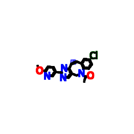 COc1ccc(-c2ncc3c(n2)/C=C\c2cc(Cl)ccc2N(C(C)=O)C3)cn1